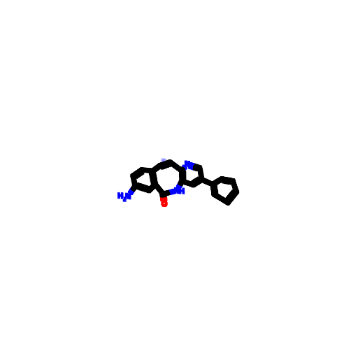 Nc1ccc2c(c1)C(=O)Nc1cc(-c3ccccc3)cnc1/C=C\2